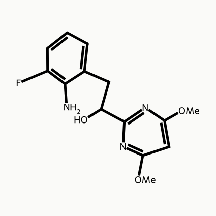 COc1cc(OC)nc(C(O)Cc2cccc(F)c2N)n1